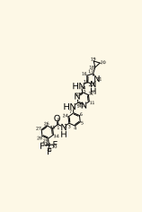 O=C(Nc1cccc(Nc2nccc(Nc3cc(C4CC4)n[nH]3)n2)c1)c1cccc(C(F)(F)F)c1